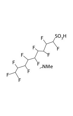 CNC.O=S(=O)(O)C(F)C(F)C(F)C(F)C(F)C(F)C(F)C(F)C(F)F